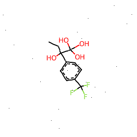 CCC(O)(c1ccc(C(F)(F)F)cc1)C(O)(O)O